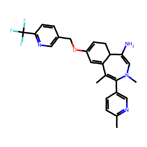 CC1=C(c2ccc(C)nc2)N(C)C=C(N)C2CC=C(OCc3ccc(C(F)(F)F)nc3)C=C12